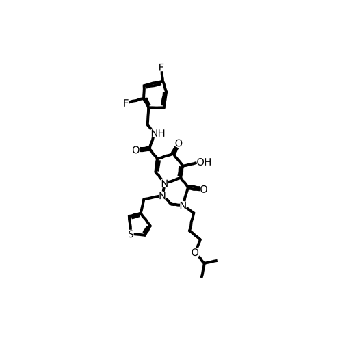 CC(C)OCCCN1CN(Cc2ccsc2)n2cc(C(=O)NCc3ccc(F)cc3F)c(=O)c(O)c2C1=O